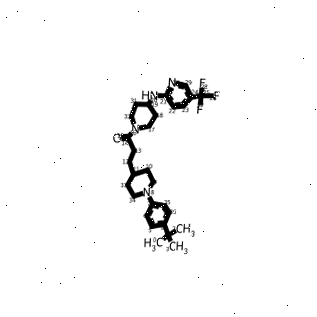 CC(C)(C)c1ccc(N2CCC(CCC(=O)N3CCC(Nc4ccc(C(F)(F)F)cn4)CC3)CC2)cc1